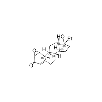 CC[C@@]1(O)CC[C@H]2[C@@H]3CCC4=CC(=O)C5OC5[C@]4(C)[C@H]3CC[C@@]21C